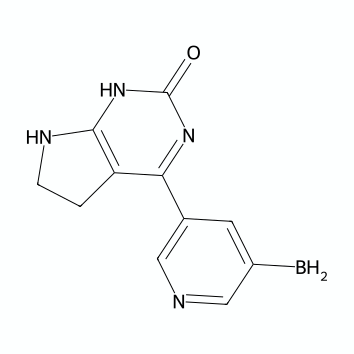 Bc1cncc(-c2nc(=O)[nH]c3c2CCN3)c1